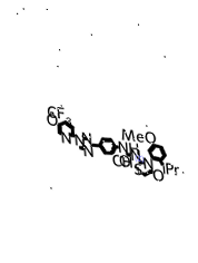 COc1ccc(C(C)C)c(N2C(=O)CS/C2=N\C(=O)Nc2ccc(-c3ncn(-c4ccc(OC(F)(F)F)cn4)n3)cc2C)c1